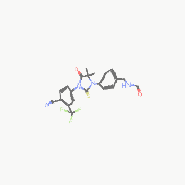 CC1(C)C(=O)N(c2ccc(C#N)c(C(F)(F)F)c2)C(=S)N1c1ccc(CNC=O)cc1